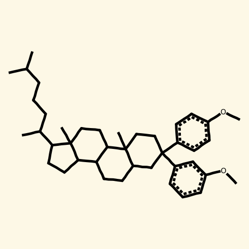 COc1ccc(C2(c3cccc(OC)c3)CCC3(C)C(CCC4C3CCC3(C)C(C(C)CCCC(C)C)CCC43)C2)cc1